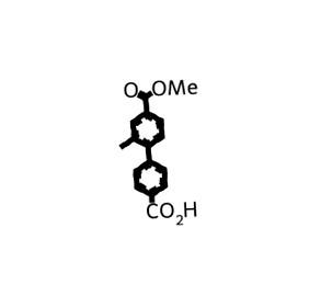 COC(=O)c1ccc(-c2ccc(C(=O)O)cc2)c(C)c1